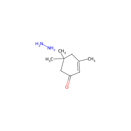 CC1=CC(=O)CC(C)(C)C1.NN